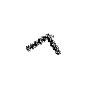 c1c[nH]cn1.c1c[nH]nn1.c1cc[nH]c1.c1cn[nH]c1.c1cncnc1.c1cnoc1.c1cnsc1.c1cocn1.c1cscn1.c1nc[nH]n1